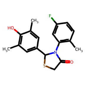 Cc1ccc(F)cc1N1C(=O)CSC1c1cc(C)c(O)c(C)c1